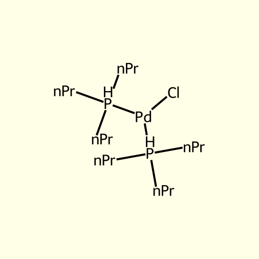 CCC[PH](CCC)(CCC)[Pd]([Cl])[PH](CCC)(CCC)CCC